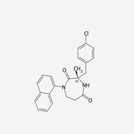 C[C@@]1(Cc2ccc(Cl)cc2)NC(=O)CCN(c2cccc3ccccc23)C1=O